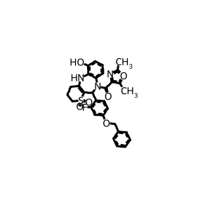 Cc1nc(C(=O)N2c3cccc(O)c3NC3=C(C2c2ccc(OCc4ccccc4)cc2F)S(=O)(=O)CCC3)c(C)o1